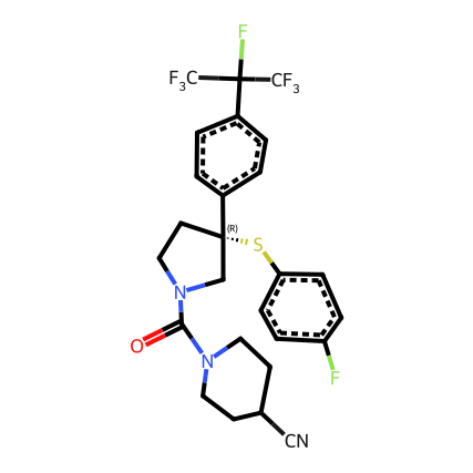 N#CC1CCN(C(=O)N2CC[C@@](Sc3ccc(F)cc3)(c3ccc(C(F)(C(F)(F)F)C(F)(F)F)cc3)C2)CC1